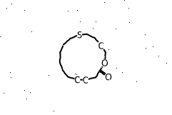 O=C1CCCCCCCCCSCCCCO1